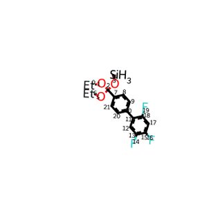 CCOC(O[SiH3])(OCC)c1ccc(-c2cc(F)c(F)cc2F)cc1